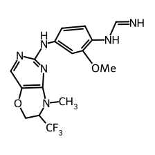 COc1cc(Nc2ncc3c(n2)N(C)C(C(F)(F)F)CO3)ccc1NC=N